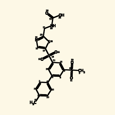 Cc1ccc(-c2cc(S(C)(=O)=O)cc(S(=O)(=O)c3cnc(CNC(=O)O)s3)c2)cc1